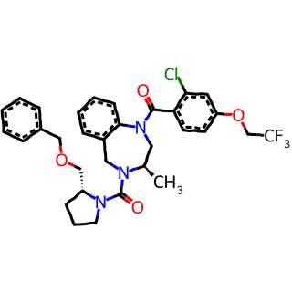 C[C@@H]1CN(C(=O)c2ccc(OCC(F)(F)F)cc2Cl)c2ccccc2CN1C(=O)N1CCC[C@@H]1COCc1ccccc1